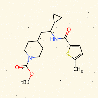 Cc1ccc(C(=O)NC(CC2CCN(C(=O)OC(C)(C)C)CC2)C2CC2)s1